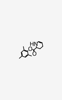 Cc1cc(C)c(OC(=O)C2CCC=CN2)c(C)c1